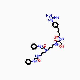 N=C(N)Nc1ccc(CCCC(=O)N[C@@H](CO)C(=O)NCCCCN(CCCNC(=O)CNc2ccccc2)C(=O)CNc2ccccc2)cc1